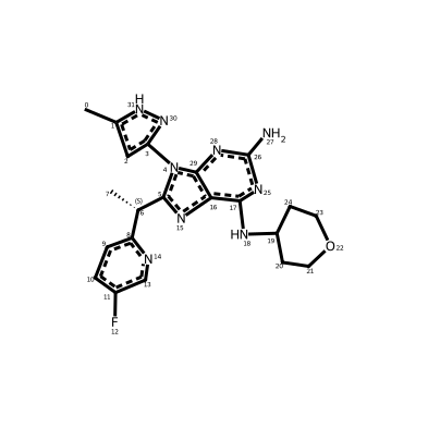 Cc1cc(-n2c([C@@H](C)c3ccc(F)cn3)nc3c(NC4CCOCC4)nc(N)nc32)n[nH]1